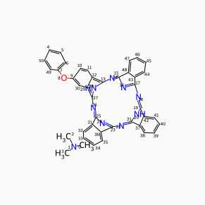 CN(C)C.c1ccc(Oc2ccc3c4nc5nc(nc6[nH]c(nc7nc(nc([nH]4)c3c2)-c2ccccc2-7)c2ccccc62)-c2ccccc2-5)cc1